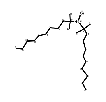 CCCCCCCCCC(C)(C)[SH](S)C(C)(C)CCCCCCCCC